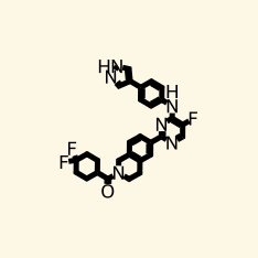 O=C(C1CCC(F)(F)CC1)N1CCc2cc(-c3ncc(F)c(Nc4ccc(-c5cn[nH]c5)cc4)n3)ccc2C1